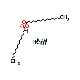 CCCCCCCCCCCCCCCC(=O)OC(=O)C(I)CCCCCCCCCCCCCC.Cl.[KH].[NaH]